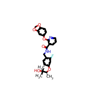 C[C@@H](Oc1ccc(CNC(=O)c2cccnc2Oc2ccc3c(c2)OCO3)c(F)c1)C(C)(C)O